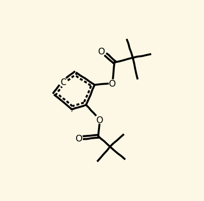 CC(C)(C)C(=O)Oc1[c]cccc1OC(=O)C(C)(C)C